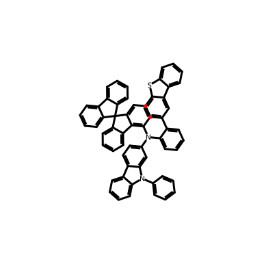 c1ccc(-n2c3ccccc3c3ccc(N(c4ccccc4-c4ccc5sc6ccccc6c5c4)c4cccc5c4-c4ccccc4C54c5ccccc5-c5ccccc54)cc32)cc1